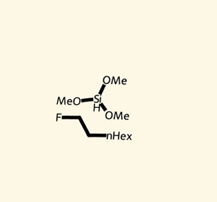 CCCCCCCCF.CO[SiH](OC)OC